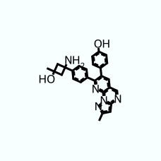 Cc1cc2ncc3cc(-c4ccc(O)cc4)c(-c4ccc(C5(N)CC(C)(O)C5)cc4)nc3n2n1